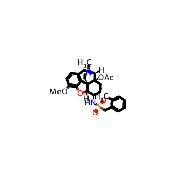 COc1ccc2c3c1O[C@H]1[C@H](NS(=O)(=O)Cc4ccccc4C)CC[C@@]4(OC(C)=O)[C@@H](C2)N(C)CC[C@]314